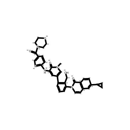 Cn1cc(-c2cccc(-n3ccc4cc(C5CC5)ccc4c3=O)c2CO)cc(Nc2ccc(C(=O)N3CCOCC3)cn2)c1=O